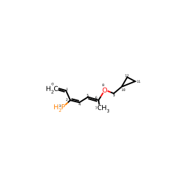 C=C/C(P)=C\C=C(/C)OCC1CC1